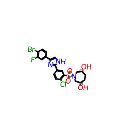 O=S(=O)(c1cc(-c2nc(-c3ccc(Br)c(F)c3)c[nH]2)ccc1Cl)N1C[C@H](O)CC[C@H](O)C1